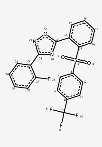 O=S(=O)(c1ccc(C(F)(F)F)cc1)c1ccccc1-c1nc(-c2ccccc2F)no1